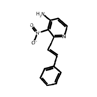 Nc1ccnc(C=Cc2ccccc2)c1[N+](=O)[O-]